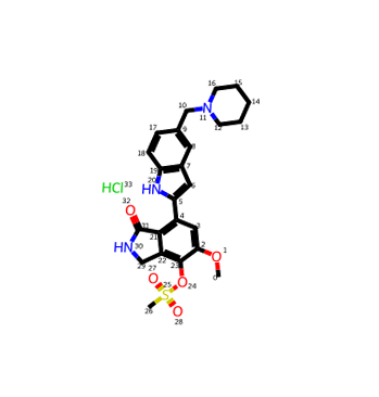 COc1cc(-c2cc3cc(CN4CCCCC4)ccc3[nH]2)c2c(c1OS(C)(=O)=O)CNC2=O.Cl